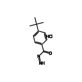 CC(C)(C)c1ccc(C(=O)N=N)cc1.Cl